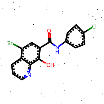 O=C(Nc1ccc(Cl)cc1)c1cc(Br)c2cccnc2c1O